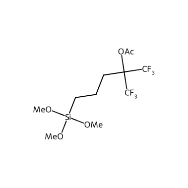 CO[Si](CCCC(OC(C)=O)(C(F)(F)F)C(F)(F)F)(OC)OC